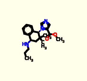 CCCN[C@@H]1CC(C)(C)[C@@H](n2cncc2C(=O)OC)c2ccccc21